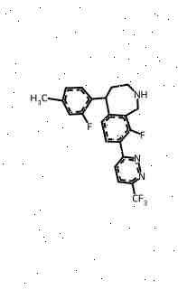 Cc1ccc(C2CCNCc3c2ccc(-c2ccc(C(F)(F)F)nn2)c3F)c(F)c1